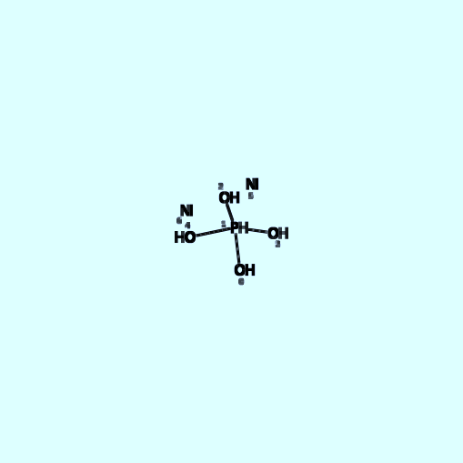 O[PH](O)(O)O.[Ni].[Ni]